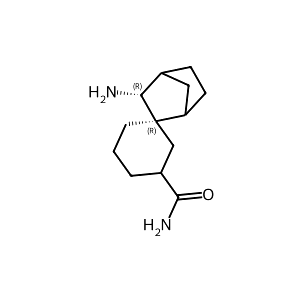 NC(=O)C1CCC[C@@]2(C1)C1CCC(C1)[C@H]2N